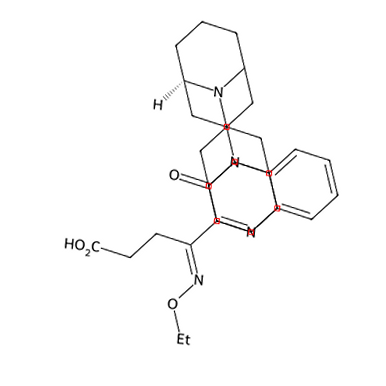 CCON=C(CCC(=O)O)c1nc2ccccc2n(C2CC3CCC[C@H](C2)N3C2CC3CCCC(C3)C2)c1=O